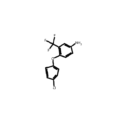 Nc1ccc(Oc2ccc(Cl)cc2)c(C(F)(F)F)c1